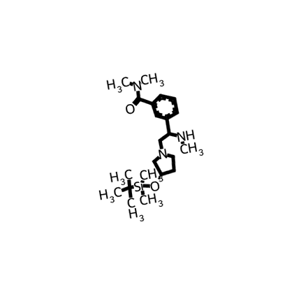 CNC(CN1CC[C@H](O[Si](C)(C)C(C)(C)C)C1)c1cccc(C(=O)N(C)C)c1